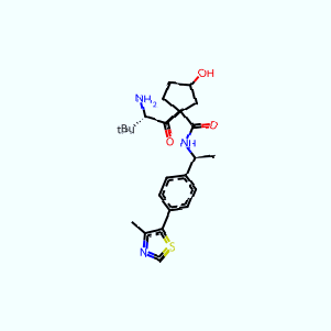 Cc1ncsc1-c1ccc([C@H](C)NC(=O)C2(C(=O)[C@@H](N)C(C)(C)C)CCC(O)C2)cc1